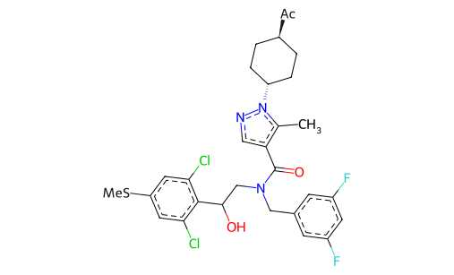 CSc1cc(Cl)c(C(O)CN(Cc2cc(F)cc(F)c2)C(=O)c2cnn([C@H]3CC[C@H](C(C)=O)CC3)c2C)c(Cl)c1